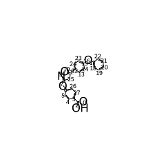 O=C(O)c1ccc(OC2=NO[C@@H](c3ccc(Oc4ccccc4)cc3)C2)cc1